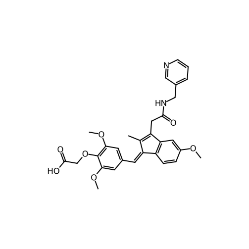 COc1ccc2c(c1)C(CC(=O)NCc1cccnc1)=C(C)C2=Cc1cc(OC)c(OCC(=O)O)c(OC)c1